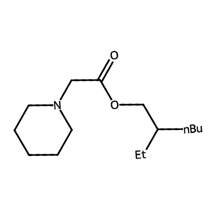 CCCCC(CC)COC(=O)CN1CCCCC1